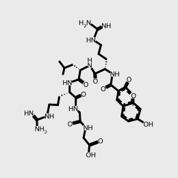 CC(C)C[C@H](NC(=O)[C@H](CCCNC(=N)N)NC(=O)c1cc2ccc(O)cc2oc1=O)C(=O)N[C@@H](CCCNC(=N)N)C(=O)NCC(=O)NCC(=O)O